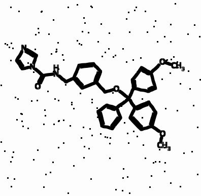 COc1ccc(C(OCc2cccc(CNC(=O)n3ccnc3)c2)(c2ccccc2)c2ccc(OC)cc2)cc1